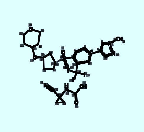 Cn1cc(-c2ccc(S(=O)(=O)[C@@H]3CC[C@@H](OC4CCOCC4)C3)c(C(F)(F)F)c2)cn1.N#CC1(NC(=O)O)CC1